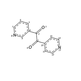 O=C(C(=O)c1cccnc1)c1ccncc1